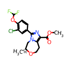 COC(=O)c1nc(-c2ccc(OC(F)F)c(Cl)c2)n2c1CCO[C@H](C)C2